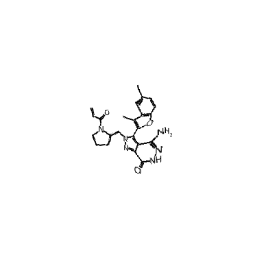 C=CC(=O)N1CCCC1Cn1nc2c(=O)[nH]nc(N)c2c1-c1oc2ccc(C)cc2c1C